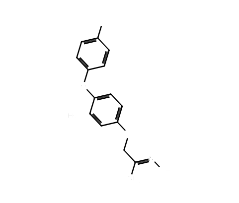 Cl.NC(COc1ccc(Oc2ccc(Cl)cc2)cc1)=NO